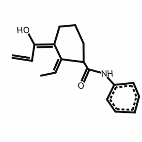 C=C/C(O)=C1/CCCC(C(=O)Nc2ccccc2)/C1=C/C